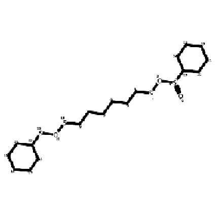 O=S(OSCCCCCCSOSC1CCCCC1)C1CCCCC1